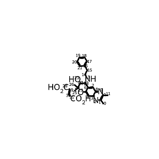 Cc1nc2cc3c(cc2nc1C)[C@H](NCCc1ccccc1)[C@@H](O)C(C)(C)O3.O=C(O)C=CC(=O)O